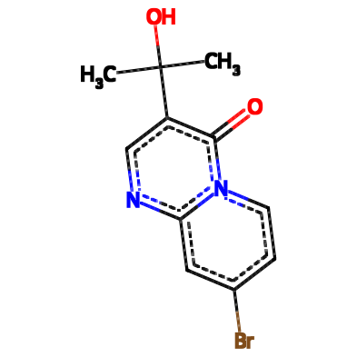 CC(C)(O)c1cnc2cc(Br)ccn2c1=O